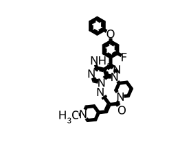 CN1CCC(C=C(C#N)C(=O)N2CCCC(n3nc(-c4ccc(Oc5ccccc5)cc4F)c4c(N)ncnc43)C2)CC1